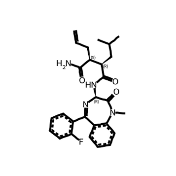 C=CC[C@H](C(N)=O)[C@@H](CC(C)C)C(=O)N[C@@H]1N=C(c2ccccc2F)c2ccccc2N(C)C1=O